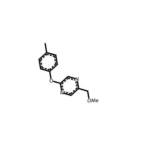 COCc1cnc(Oc2ccc(C)cc2)cn1